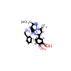 NCc1ccccc1.O=C(O)c1cc2nc(-c3ccc(O)c(O)c3)cc(C(F)(F)F)n2n1